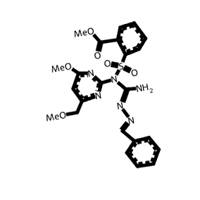 COCc1cc(OC)nc(N(C(N)=NN=Cc2ccccc2)S(=O)(=O)c2ccccc2C(=O)OC)n1